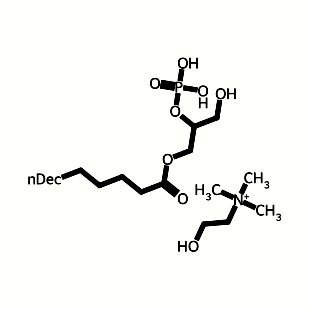 CCCCCCCCCCCCCCC(=O)OCC(CO)OP(=O)(O)O.C[N+](C)(C)CCO